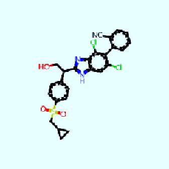 N#Cc1ccccc1-c1c(Cl)cc2[nH]c(C(CO)c3ccc(S(=O)(=O)CC4CC4)cc3)nc2c1Cl